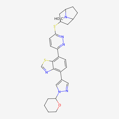 O=C(O)N1C2CCC1CC(Sc1ccc(-c3ccc(-c4cnn(C5CCCCO5)c4)c4ncsc34)nn1)C2